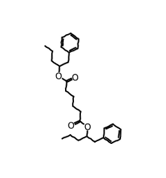 CCCC(Cc1ccccc1)OC(=O)CCCCC(=O)OC(CCC)Cc1ccccc1